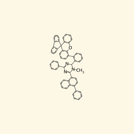 CN1C(c2ccc(-c3ccccc3)c3ccccc23)=NC(c2ccccc2)=NC1c1ccccc1-c1cccc2c1Oc1ccccc1C21c2ccccc2-c2ccccc21